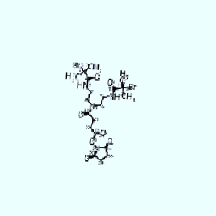 CC(C)(Br)C(=O)NCCN(CCNC(=O)C(C)(C)Br)C(=O)CCC(=O)ON1C(=O)CCC1=O